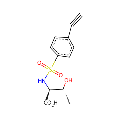 C#Cc1ccc(S(=O)(=O)N[C@H](C(=O)O)[C@@H](C)O)cc1